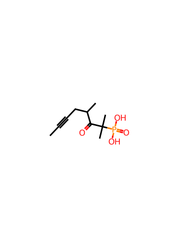 CC#CCC(C)C(=O)C(C)(C)P(=O)(O)O